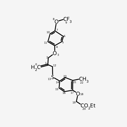 C=C(COc1ccc(OC(F)(F)F)cc1)CSc1ccc(OCC(=O)OCC)c(C)c1